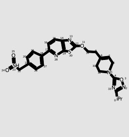 CC(C)c1noc(N2CC=C(CCOc3nc4ccc(-c5ccc(C[SH](=O)=O)cc5)nc4s3)CC2)n1